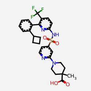 CC1(C(=O)O)CCN(c2cc(S(=O)(=O)Nc3ccc(C(F)(F)F)c(-c4ccccc4C4CCC4)n3)ccn2)CC1